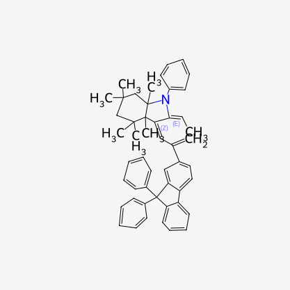 C=C(/C=C1\C(=C/C)N(c2ccccc2)C2(C)CC(C)(C)CC(C)(C)C12C)c1ccc2c(c1)C(c1ccccc1)(c1ccccc1)c1ccccc1-2